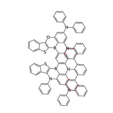 c1ccc(-c2cccc(-c3ccccc3)c2N2c3cc4c(cc3B3c5sc6ccccc6c5N(c5ccccc5)c5cc(N(c6ccccc6)c6ccccc6)cc2c53)B2c3sc5ccccc5c3Oc3cc(N(c5ccccc5)c5ccccc5)cc(c32)N4c2ccccc2)cc1